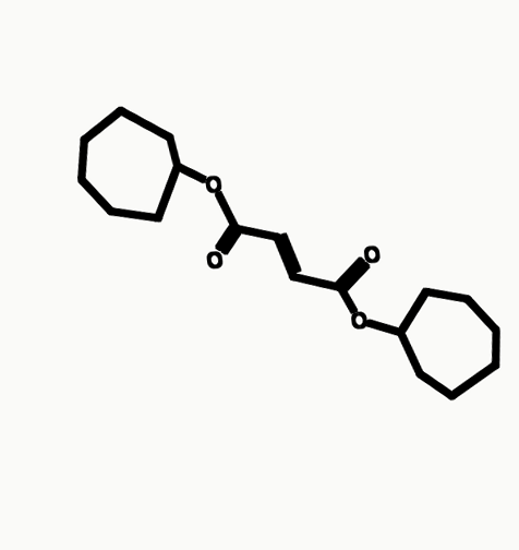 O=C(C=CC(=O)OC1CCCCCC1)OC1CCCCCC1